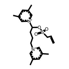 C=CCS(=O)(=O)OC(CCC[n+]1cc(C)cc(C)c1)[n+]1cc(C)cc(C)c1